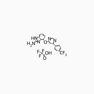 Nc1nc2c(Oc3cc(-c4ccc(C(F)(F)F)cc4)ncn3)cccc2[nH]1.O=C(O)C(F)(F)F